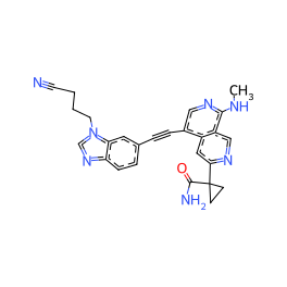 CNc1ncc(C#Cc2ccc3ncn(CCCC#N)c3c2)c2cc(C3(C(N)=O)CC3)ncc12